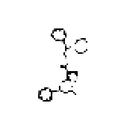 O=C(NCC(c1ccccc1)N1CCOCC1)c1cnn2c1NC(c1ccccc1)CC2C(F)(F)F